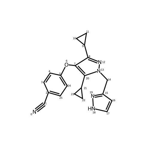 N#Cc1ccc(Oc2c(C3CC3)nn(Cc3cc[nH]n3)c2C2CC2)cc1